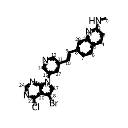 CNc1ccc2ccc(/C=C/c3cncc(-n4cc(Br)c5c(Cl)ncnc54)c3)cc2n1